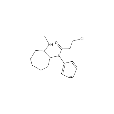 CNC1CCCCCC1N(C(=O)CCCl)c1ccccc1